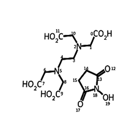 O=C(O)CN(CCN(CC(=O)O)CC(=O)O)CC(=O)O.O=C1CCC(=O)N1O